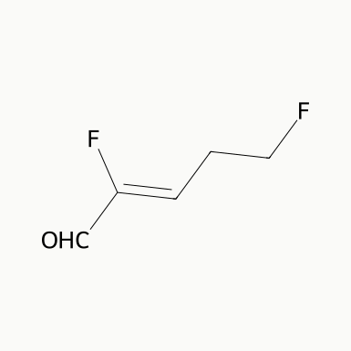 O=CC(F)=CCCF